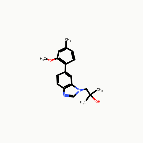 COc1cc(C)ccc1-c1ccc2ncn(CC(C)(C)O)c2c1